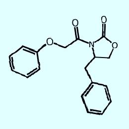 O=C(COc1ccccc1)N1C(=O)OCC1Cc1ccccc1